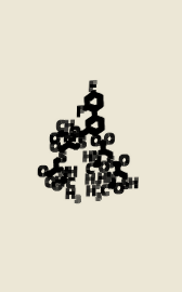 CC(=O)NC(CSC(=O)C(CSC(=O)c1cc(-c2ccc(F)cc2F)ccc1OC(=O)C(CSC(=O)C(CS)NC(C)=O)NC(C)=O)NC(C)=O)C(=O)O